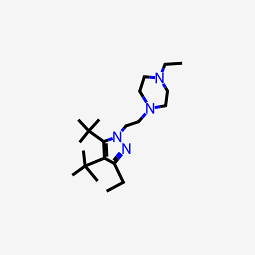 CCc1nn(CCN2CCN(CC)CC2)c(C(C)(C)C)c1C(C)(C)C